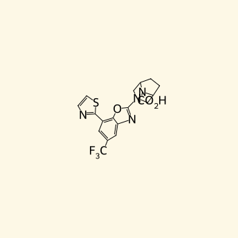 O=C(O)N1C2CCC1CN(c1nc3cc(C(F)(F)F)cc(-c4nccs4)c3o1)C2